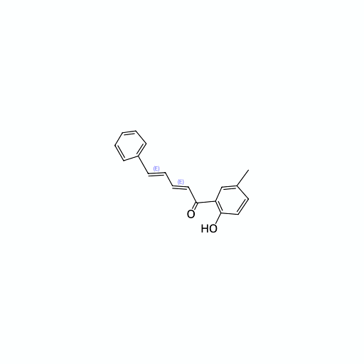 Cc1ccc(O)c(C(=O)/C=C/C=C/c2ccccc2)c1